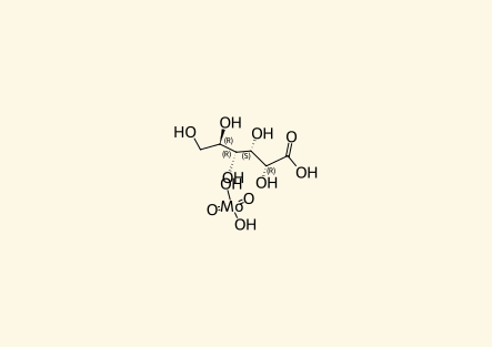 O=C(O)[C@H](O)[C@@H](O)[C@H](O)[C@H](O)CO.[O]=[Mo](=[O])([OH])[OH]